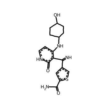 N=C(c1csc(C(N)=O)c1)c1c(NC2CCC(O)CC2)cc[nH]c1=O